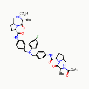 COC(=O)N[C@H](C(=O)N1C(C)CC[C@H]1C(=O)Nc1ccc(CN(Cc2ccc(NC(=O)[C@@H]3CCC(C)N3C(=O)[C@H](NC(=O)O)C(C)(C)C)cc2)c2ccc(F)cc2)cc1)C(C)(C)C